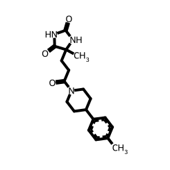 Cc1ccc(C2CCN(C(=O)CCC3(C)NC(=O)NC3=O)CC2)cc1